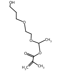 C=C(C)C(=O)OC(C)OCCOCCCO